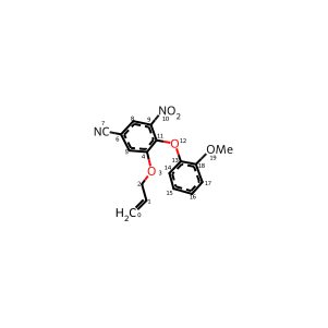 C=CCOc1cc(C#N)cc([N+](=O)[O-])c1Oc1ccccc1OC